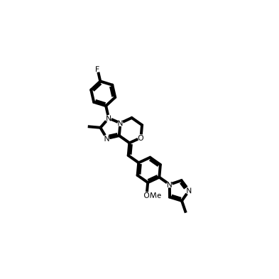 COc1cc(/C=C2\OCCN3C2=NC(C)N3c2ccc(F)cc2)ccc1-n1cnc(C)c1